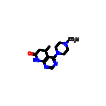 CC1CC(=O)Nc2ncnc(N3CCN(C(=O)O)CC3)c21